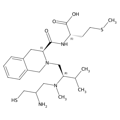 CSCC[C@H](NC(=O)[C@@H]1Cc2ccccc2CN1C[C@@H](C(C)C)N(C)CC(N)CS)C(=O)O